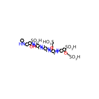 Cc1cc(N=Nc2cc(C)c(N=Nc3cc(C)c(N=Nc4c(S(=O)(=O)O)cc5cc(Nc6ccccc6)ccc5c4O)cc3C)cc2C)c(OCCCS(=O)(=O)O)cc1N=Nc1ccc2c(OCCCS(=O)(=O)O)cc(S(=O)(=O)O)cc2c1